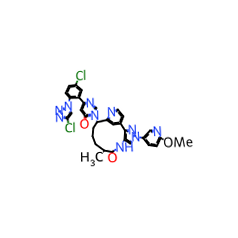 COc1ccc(-n2cc3c(n2)-c2ccnc(c2)[C@@H](n2cnc(-c4cc(Cl)ccc4-n4cc(Cl)nn4)cc2=O)CCC[C@@H](C)C(=O)N3)cn1